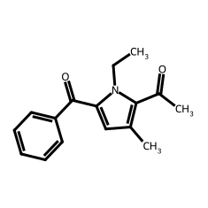 CCn1c(C(=O)c2ccccc2)cc(C)c1C(C)=O